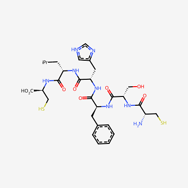 CC(C)C[C@H](NC(=O)[C@H](Cc1c[nH]cn1)NC(=O)[C@H](Cc1ccccc1)NC(=O)[C@H](CO)NC(=O)[C@@H](N)CS)C(=O)N[C@@H](CS)C(=O)O